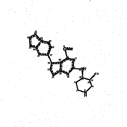 COc1nc(N[C@@H]2CCNC[C@@H]2F)nn2ccc(-c3ccn4nccc4c3)c12